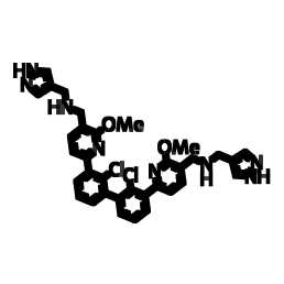 COc1nc(-c2cccc(-c3cccc(-c4ccc(CNCc5cn[nH]c5)c(OC)n4)c3Cl)c2Cl)ccc1CNCc1cn[nH]c1